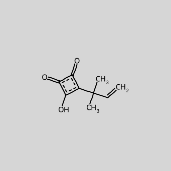 C=CC(C)(C)c1c(O)c(=O)c1=O